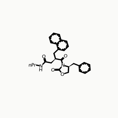 CCCNC(=O)C[C@@H](Cc1cccc2ccccc12)C(=O)N1C(=O)OC[C@@H]1Cc1ccccc1